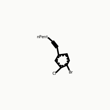 CCCCCC#Cc1ccc(Br)c(Cl)c1